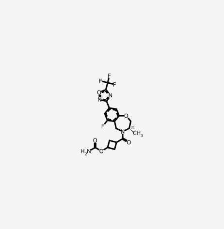 C[C@H]1COc2cc(-c3noc(C(F)(F)F)n3)cc(F)c2CN1C(=O)C1CC(OC(N)=O)C1